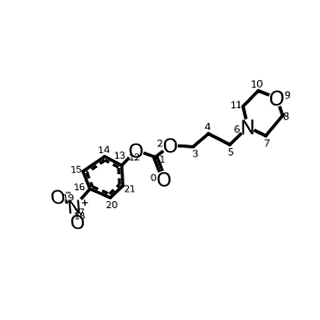 O=C(OCCCN1CCOCC1)Oc1ccc([N+](=O)[O-])cc1